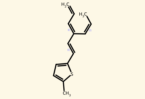 C=C/C=C(\C=C/C)/C=C/c1ccc(C)s1